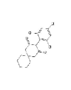 O=C1CC2(CCCCC2)CC(=O)C1c1c(Cl)cc(Cl)cc1Cl